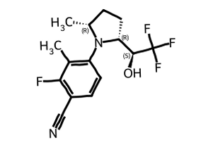 Cc1c(N2[C@H](C)CC[C@@H]2[C@H](O)C(F)(F)F)ccc(C#N)c1F